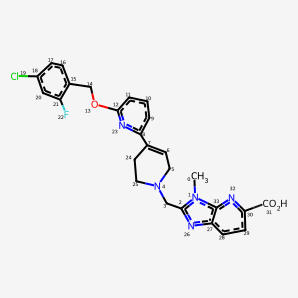 Cn1c(CN2CC=C(c3cccc(OCc4ccc(Cl)cc4F)n3)CC2)nc2ccc(C(=O)O)nc21